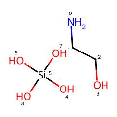 NCCO.O[Si](O)(O)O